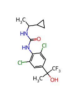 CC(NC(=O)Nc1c(Cl)cc(C(C)(O)C(F)(F)F)cc1Cl)C1CC1